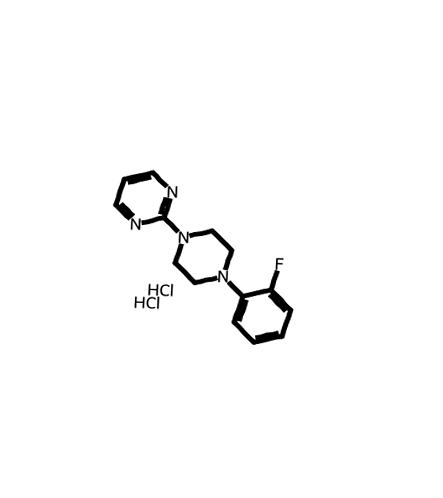 Cl.Cl.Fc1ccccc1N1CCN(c2ncccn2)CC1